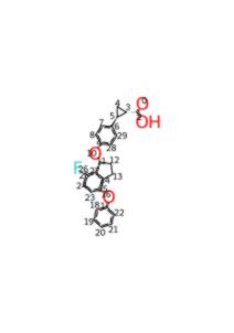 O=C(O)[C@H]1C[C@@H]1c1ccc(O[C@@H]2CCc3c(Oc4ccccc4)ccc(F)c32)cc1